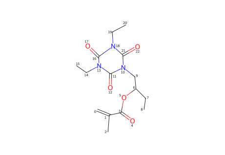 C=C(C)C(=O)OC(CC)Cn1c(=O)n(CC)c(=O)n(CC)c1=O